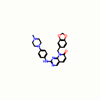 CN1CCN(c2ccc(Nc3ncc4ccc(=O)n(Cc5ccc6c(c5)OCO6)c4n3)cc2)CC1